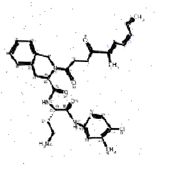 C=C/C=C\C=C(/C)C(=O)CCC(=O)N1Cc2ccccc2C[C@@H]1C(=O)N[C@@H](CCN)C(=O)Nc1cc(C)c(Cl)cn1